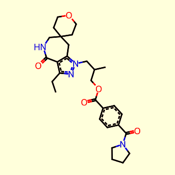 CCc1nn(CC(C)COC(=O)c2ccc(C(=O)N3CCCC3)cc2)c2c1C(=O)NCC1(CCOCC1)C2